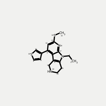 CCn1c2c(c3c(-c4ccsc4)cc(SC)nc31)CNCC2